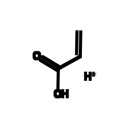 C=CC(=O)O.[H+]